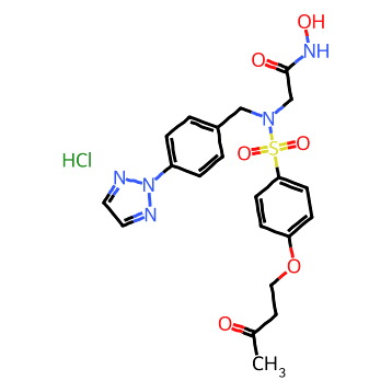 CC(=O)CCOc1ccc(S(=O)(=O)N(CC(=O)NO)Cc2ccc(-n3nccn3)cc2)cc1.Cl